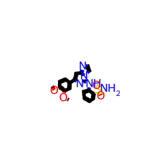 COc1ccc(-c2cc3nccn3c(Nc3ccccc3S(N)(=O)=O)n2)cc1OC